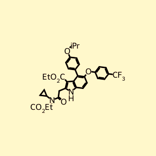 CCOC(=O)c1c(CC(=O)N(C(=O)OCC)C2CC2)[nH]c2ccc(Oc3ccc(C(F)(F)F)cc3)c(-c3ccc(OC(C)C)cc3)c12